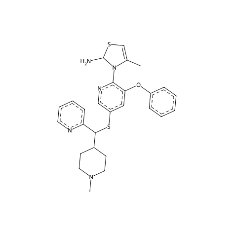 CC1=CSC(N)N1c1ncc(SC(c2ccccn2)C2CCN(C)CC2)cc1Oc1ccccc1